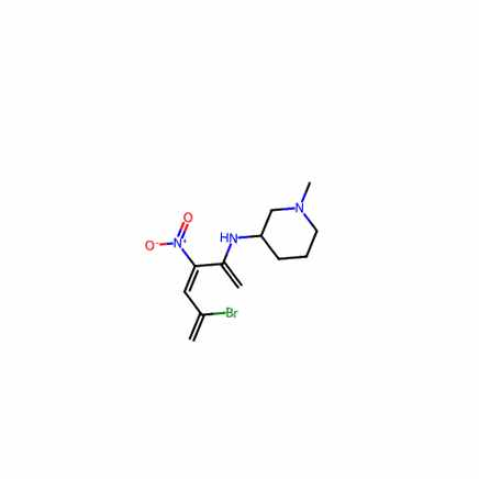 C=C(Br)/C=C(\C(=C)NC1CCCN(C)C1)[N+](=O)[O-]